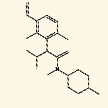 C=Cc1ccc(C)c(C(C(=C)N(C)C2CCC(C)CC2)C(C)C)c1C